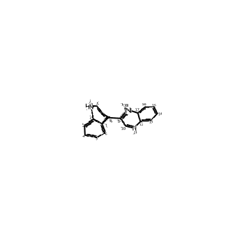 [c]1[nH]c2ccccc2c1-c1cnc2ccccc2n1